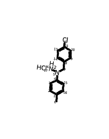 Cc1ccc(N(N)Cc2ccc(Cl)cc2)cc1.Cl